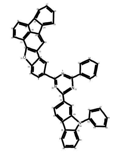 c1ccc(-c2nc(-c3ccc4oc5c6cccc7c6c(cc5c4c3)-c3ccccc3-7)nc(-c3ccc4c5ccccc5n(-c5ccccc5)c4c3)n2)cc1